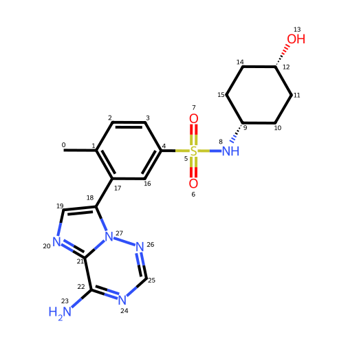 Cc1ccc(S(=O)(=O)N[C@H]2CC[C@@H](O)CC2)cc1-c1cnc2c(N)ncnn12